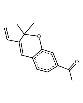 C=CC1=Cc2ccc(C(C)=O)cc2OC1(C)C